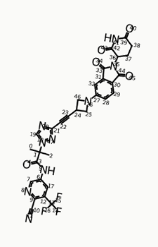 CC(C)(C(=O)Nc1cnc(C#N)c(C(F)(F)F)c1)n1cnc(C#CC2CN(c3ccc4c(c3)C(=O)N(C3CCC(=O)NC3=O)C4=O)C2)n1